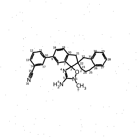 CN1OC2(N=C1N)c1cc(-c3cccc(C#N)c3)ccc1CC21CCCc2ccccc2C1